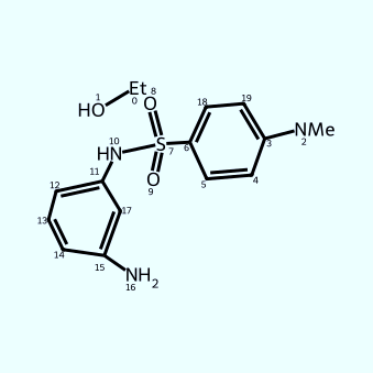 CCO.CNc1ccc(S(=O)(=O)Nc2cccc(N)c2)cc1